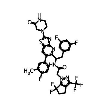 Cc1cc(-c2cc3sc(N4CCNC(=O)C4)nc3nc2C(Cc2cc(F)cc(F)c2)NC(=O)Cn2nc(C(F)(F)F)c3c2C(F)(F)CC3)ccc1F